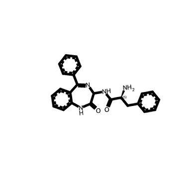 N[C@@H](Cc1ccccc1)C(=O)NC1N=C(c2ccccc2)c2ccccc2NC1=O